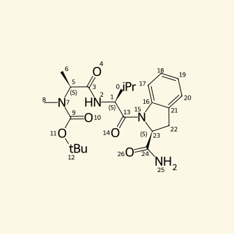 CC(C)[C@H](NC(=O)[C@H](C)N(C)C(=O)OC(C)(C)C)C(=O)N1c2ccccc2C[C@H]1C(N)=O